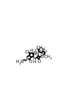 Cc1ccc([C@H](Nc2c(Nc3ccc(Cl)c4c3C(=O)N(CCN)C4)c(=O)c2=O)C(C)(C)C)o1